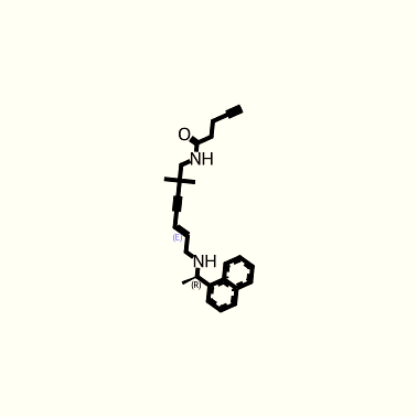 C#CCCC(=O)NCC(C)(C)C#C/C=C/CN[C@H](C)c1cccc2ccccc12